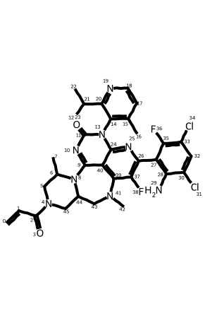 C=CC(=O)N1CC(C)N2c3nc(=O)n(-c4c(C)ccnc4C(C)C)c4nc(-c5c(N)c(Cl)cc(Cl)c5F)c(F)c(c34)N(C)CC2C1